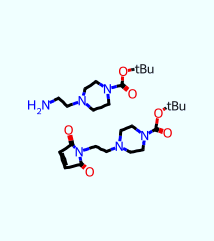 CC(C)(C)OC(=O)N1CCN(CCN)CC1.CC(C)(C)OC(=O)N1CCN(CCN2C(=O)C=CC2=O)CC1